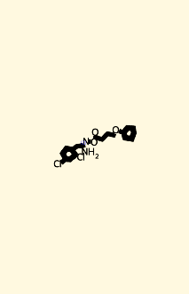 N/C(Cc1ccc(Cl)cc1Cl)=N\OC(=O)CCCOc1ccccc1